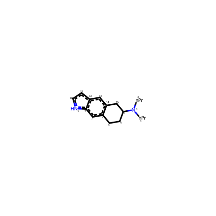 CCCN(CCC)C1CCc2cc3[nH]ccc3cc2C1